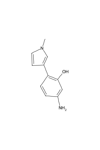 Cn1ccc(-c2ccc(N)cc2O)c1